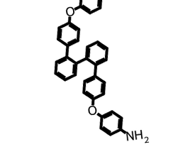 Nc1ccc(Oc2ccc(-c3ccccc3-c3ccccc3-c3ccc(Oc4ccc(N)cc4)cc3)cc2)cc1